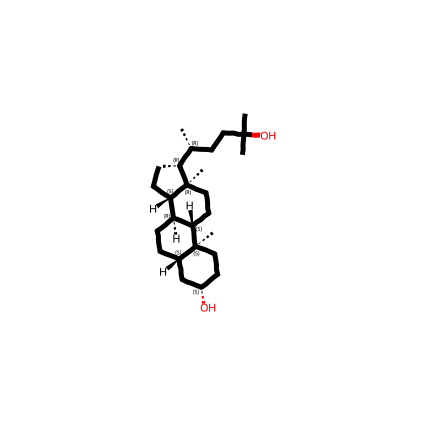 C[C@H](CCC(C)(C)O)[C@H]1CC[C@H]2[C@@H]3CC[C@H]4C[C@@H](O)CC[C@]4(C)[C@H]3CC[C@]12C